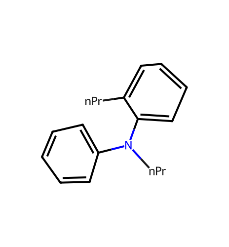 CCCc1ccccc1N(CCC)c1ccccc1